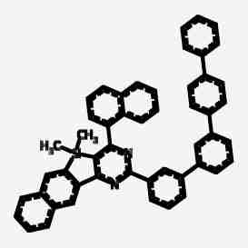 C[Si]1(C)c2cc3ccccc3cc2-c2nc(-c3cccc(-c4cccc(-c5ccc(-c6ccccc6)cc5)c4)c3)nc(-c3cccc4ccccc34)c21